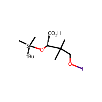 CC(C)(COI)[C@@H](O[Si](C)(C)C(C)(C)C)C(=O)O